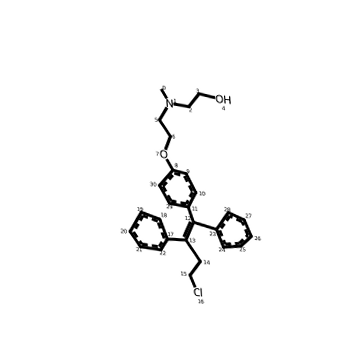 CN(CCO)CCOc1ccc(/C(=C(/CCCl)c2ccccc2)c2ccccc2)cc1